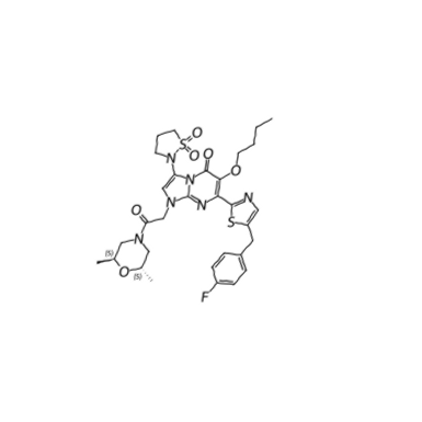 CCCCOc1c(-c2ncc(Cc3ccc(F)cc3)s2)nc2n(CC(=O)N3C[C@H](C)O[C@@H](C)C3)cc(N3CCCS3(=O)=O)n2c1=O